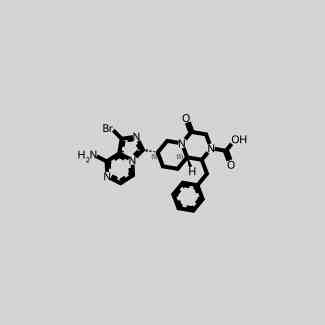 Nc1nccn2c([C@H]3CC[C@H]4C(Cc5ccccc5)N(C(=O)O)CC(=O)N4C3)nc(Br)c12